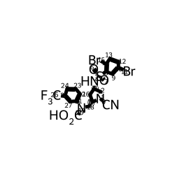 N#CN1C[C@H](NS(=O)(=O)c2cc(Br)ccc2Br)C[C@@H]1CN(C(=O)O)c1cccc(C(F)(F)F)c1